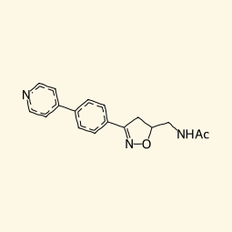 CC(=O)NCC1CC(c2ccc(-c3ccncc3)cc2)=NO1